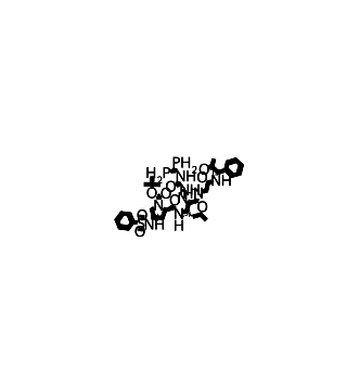 CCC[C@H](NC(=O)C1C[C@@H](NS(=O)(=O)c2ccccc2)CN1C(=O)OC(C)(C)C)C(=NNC(=O)NC(P)P)C(=O)NCC(=O)N[C@H](C(C)=O)c1ccccc1